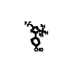 [2H]C([2H])([2H])n1cc(C(F)(F)F)nc1-c1ccc(C=O)cc1